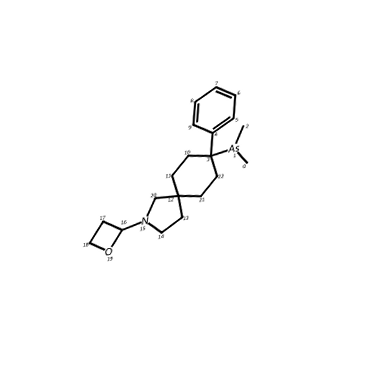 C[As](C)C1(c2ccccc2)CCC2(CCN(C3[CH]CO3)C2)CC1